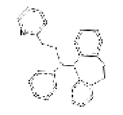 C1=Cc2ccccc2C(P(CCc2ccccn2)c2ccccc2)c2ccccc21